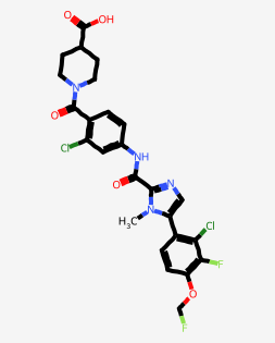 Cn1c(-c2ccc(OCF)c(F)c2Cl)cnc1C(=O)Nc1ccc(C(=O)N2CCC(C(=O)O)CC2)c(Cl)c1